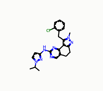 CC(C)n1ccc(Nc2ncc3c(n2)-c2c(nn(C)c2Cc2ccccc2Cl)CC3)n1